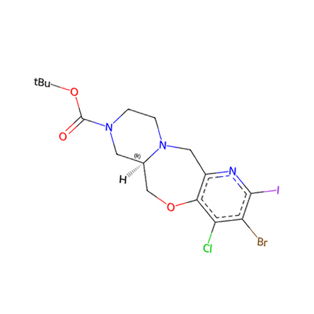 CC(C)(C)OC(=O)N1CCN2Cc3nc(I)c(Br)c(Cl)c3OC[C@H]2C1